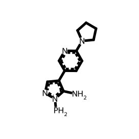 Nc1c(-c2ccc(N3CCCC3)nc2)cnn1P